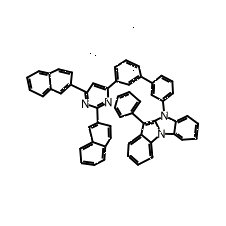 c1ccc(-c2c3ccccc3n3c4ccccc4n(-c4cccc(-c5cccc(-c6cc(-c7ccc8ccccc8c7)nc(-c7ccc8ccccc8c7)n6)c5)c4)c23)cc1